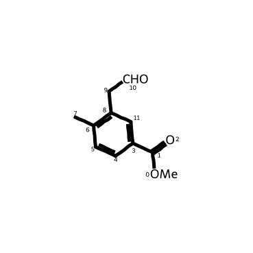 COC(=O)c1ccc(C)c(CC=O)c1